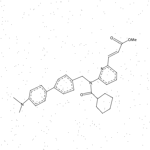 COC(=O)/C=C/c1cccc(N(Cc2ccc(-c3ccc(N(C)C)cc3)cc2)C(=O)C2CCCCC2)n1